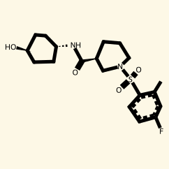 Cc1cc(F)ccc1S(=O)(=O)N1CCC[C@H](C(=O)N[C@H]2CC[C@H](O)CC2)C1